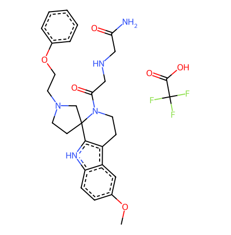 COc1ccc2[nH]c3c(c2c1)CCN(C(=O)CNCC(N)=O)C31CCN(CCOc2ccccc2)C1.O=C(O)C(F)(F)F